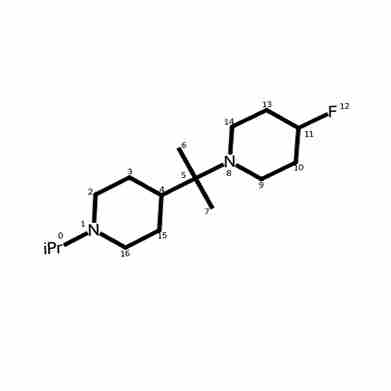 CC(C)N1CCC(C(C)(C)N2CCC(F)CC2)CC1